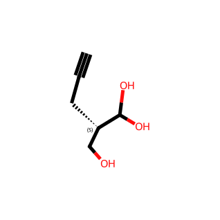 C#CC[C@@H](CO)C(O)O